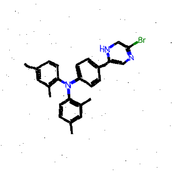 Cc1ccc(N(c2ccc(C3=CN=C(Br)CN3)cc2)c2ccc(C)cc2C)c(C)c1